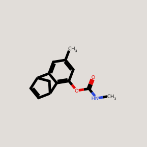 CNC(=O)Oc1cc(C)cc2c1C1C=CC2C1